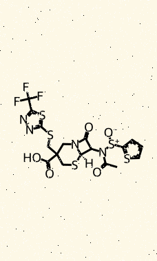 CC(=O)N(C1C(=O)N2CC(CSc3nnc(C(F)(F)F)s3)(C(=O)O)CS[C@H]12)[S+]([O-])c1cccs1